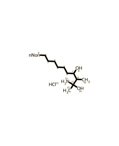 CCCCCCCCCCCCCCCC(O)C(C)C(C)(N)O.Cl